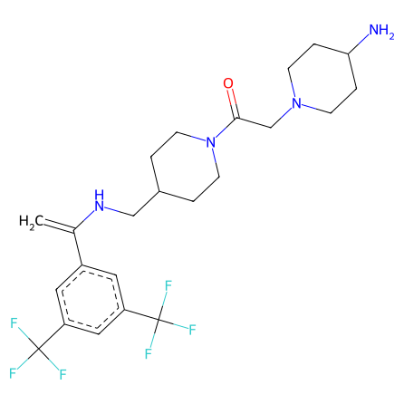 C=C(NCC1CCN(C(=O)CN2CCC(N)CC2)CC1)c1cc(C(F)(F)F)cc(C(F)(F)F)c1